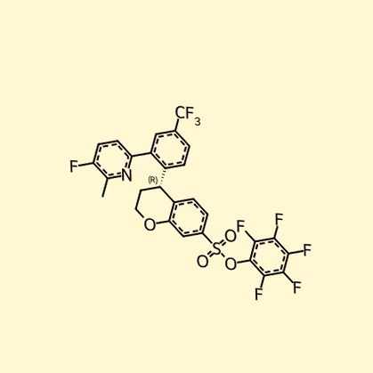 Cc1nc(-c2cc(C(F)(F)F)ccc2[C@H]2CCOc3cc(S(=O)(=O)Oc4c(F)c(F)c(F)c(F)c4F)ccc32)ccc1F